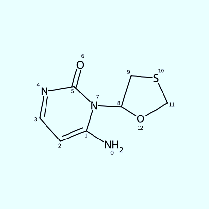 Nc1ccnc(=O)n1C1CSCO1